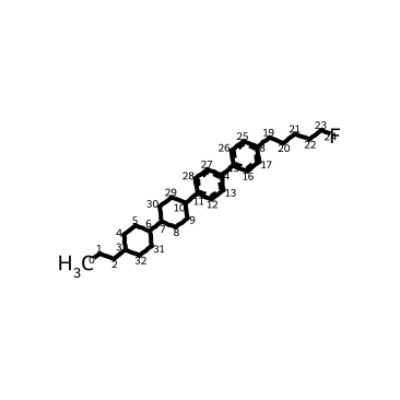 CCCC1CCC(C2CCC(c3ccc(-c4ccc(CCCCCF)cc4)cc3)CC2)CC1